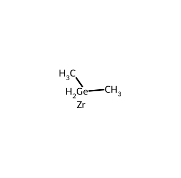 [CH3][GeH2][CH3].[Zr]